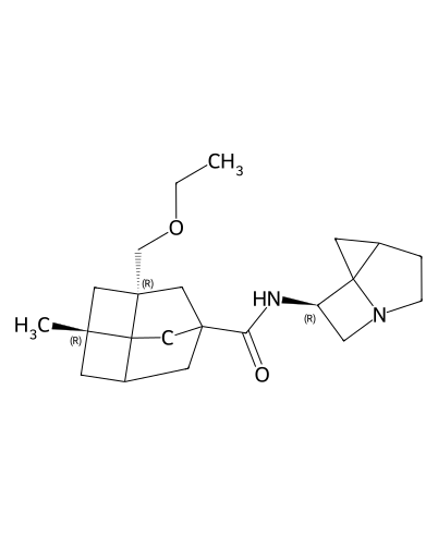 CCOC[C@@]12CC3(C(=O)N[C@@H]4CN5CCC6CC645)CC4C[C@](C)(C1)C42C3